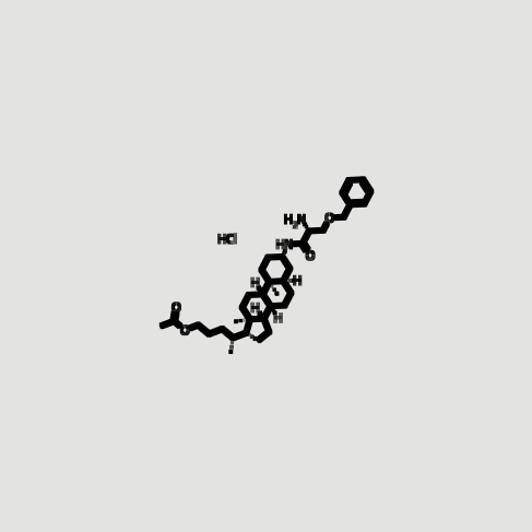 CC(=O)OCCC[C@@H](C)[C@H]1CC[C@H]2[C@@H]3CC[C@@H]4C[C@@H](NC(=O)[C@H](N)COCc5ccccc5)CC[C@]4(C)[C@H]3CC[C@]12C.Cl